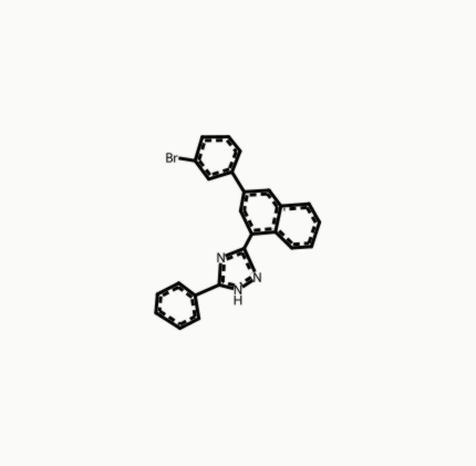 Brc1cccc(-c2cc(-c3n[nH]c(-c4ccccc4)n3)c3ccccc3c2)c1